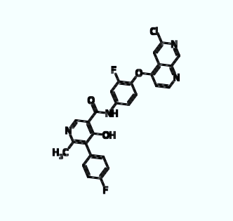 Cc1ncc(C(=O)Nc2ccc(Oc3ccnc4cnc(Cl)cc34)c(F)c2)c(O)c1-c1ccc(F)cc1